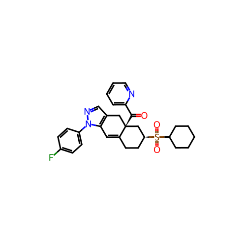 O=C(c1ccccn1)[C@]12Cc3cnn(-c4ccc(F)cc4)c3C=C1CC[C@H](S(=O)(=O)C1CCCCC1)C2